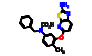 Cc1ccc(N(Cc2ccccc2)C(=O)O)cc1Oc1ccc2nc(N)sc2n1